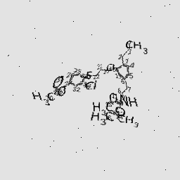 CCCc1ccc(CCNC(=O)OC(C)(C)C)cc1OCCCSc1ccc(OC(C)=O)cc1Cl